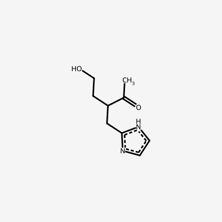 CC(=O)C(CCO)Cc1ncc[nH]1